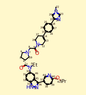 CCN(C(=O)[C@@H]1CCN(CC(=O)N2CC=C(c3ccc(-c4cn(C)cn4)cc3)CC2)C1)c1ccc2[nH]nc(-c3ccc(OC(C)C)nc3)c2c1